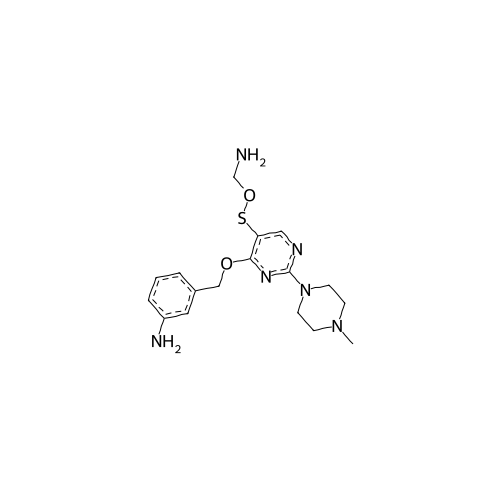 CN1CCN(c2ncc(SOCN)c(OCc3cccc(N)c3)n2)CC1